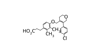 Cc1c(CCC(=O)O)ccc(OCC2=C(c3ccc(Cl)cc3)COCC2)c1C